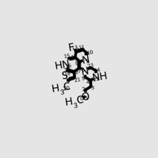 COCCC1CN(C2=c3nccc(F)c3=CNc3sc(C)cc32)CCN1